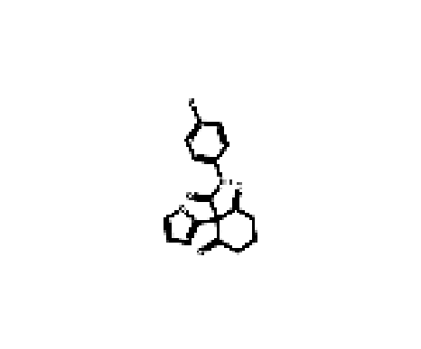 O=C1CCCC(=O)C1(C(=O)Nc1ccc(F)cc1)c1ccco1